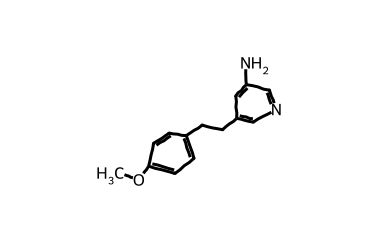 COc1ccc(CCc2cncc(N)c2)cc1